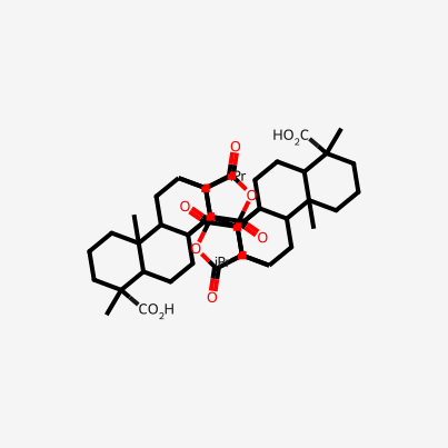 CC(C)C1C2CC3C4(C)CCCC(C)(C(=O)O)C4CCC3(C3C(=O)OC(=O)C23)C1C1C(C(C)C)C2CC3C4(C)CCCC(C)(C(=O)O)C4CCC13C1C(=O)OC(=O)C21